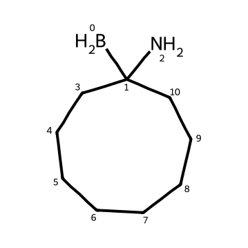 BC1(N)CCCCCCCC1